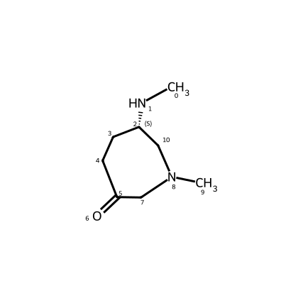 CN[C@H]1CCC(=O)CN(C)C1